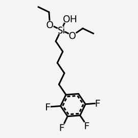 CCO[Si](O)(CCCCCc1cc(F)c(F)c(F)c1F)OCC